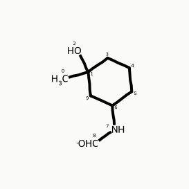 CC1(O)CCCC(N[C]=O)C1